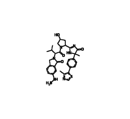 BBc1ccc2c(c1)C(=O)N(C(C(=O)N1CC(O)CC1C1=NC(=O)C(C)(c3ccc(-c4scnc4C)cc3)N1)C(C)C)C2